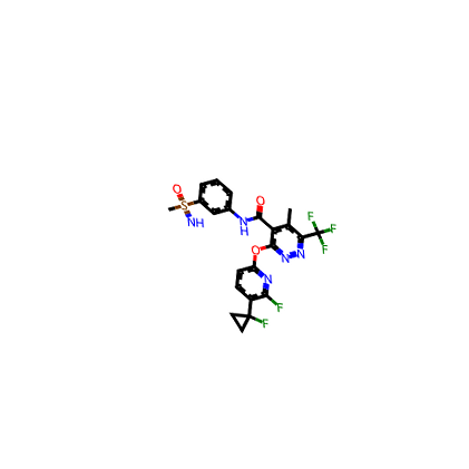 Cc1c(C(F)(F)F)nnc(Oc2ccc(C3(F)CC3)c(F)n2)c1C(=O)Nc1cccc(S(C)(=N)=O)c1